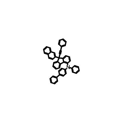 C(#CC1(c2ccc3ccccc3c2)c2ccccc2-c2c(N(c3ccccc3)c3ccc(-c4ccccc4)cc3)cccc21)c1ccccc1